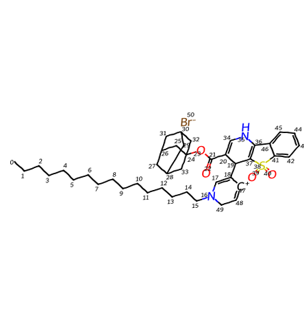 CCCCCCCCCCCCCCCCN1C=C(C2C(C(=O)OC34CC5CC(CC(C5)C3)C4)=CNC3=C2S(=O)(=O)c2ccccc23)[C+]=CC1.[Br-]